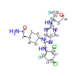 NC(=O)C[C@H]1CC[C@@H](n2c(Nc3c(F)cc(Cl)cc3Cl)nc3cnc(N[C@H]4CCOC[C@H]4F)nc32)CC1